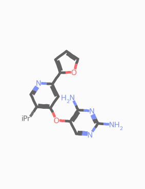 CC(C)c1cnc(-c2ccco2)cc1Oc1cnc(N)nc1N